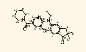 CCN(c1ccc2c(c1)CC(C)(C)C2=O)c1ncc(C(=O)N2CCCCC2)cc1O